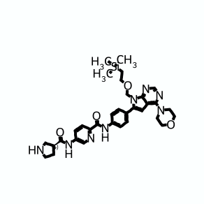 C[Si](C)(C)CCOCn1c(-c2ccc(NC(=O)c3ccc(NC(=O)[C@H]4CCNC4)cn3)cc2)cc2c(N3CCOCC3)ncnc21